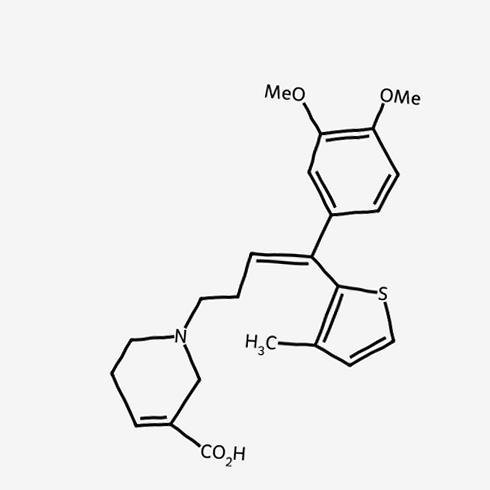 COc1ccc(C(=CCCN2CCC=C(C(=O)O)C2)c2sccc2C)cc1OC